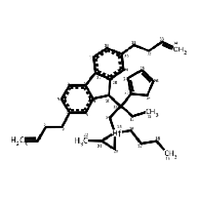 C=CCCc1ccc2c(c1)C(C(CC)([CH2][Hf]1([CH2]CCC)[CH2][CH]1C)C1=CC=CC1)c1cc(CCC=C)ccc1-2